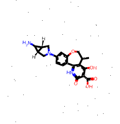 CC1COc2cc(N3C[C@@H]4C(N)[C@@H]4C3)ccc2-c2[nH]c(=O)c(C(=O)O)c(O)c21